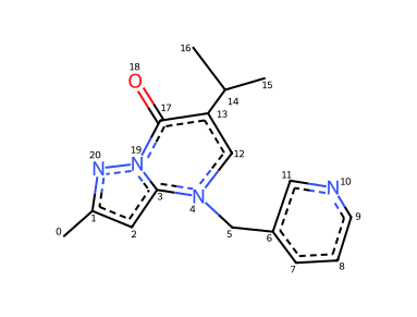 Cc1cc2n(Cc3cccnc3)cc(C(C)C)c(=O)n2n1